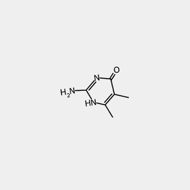 Cc1[nH]c(N)nc(=O)c1C